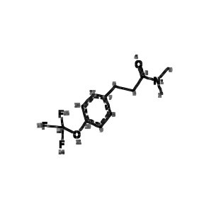 CN(C)C(=O)CCc1ccc(OC(F)(F)F)cc1